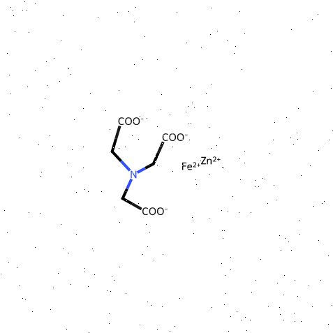 O=C([O-])CN(CC(=O)[O-])CC(=O)[O-].[Fe+2].[Zn+2]